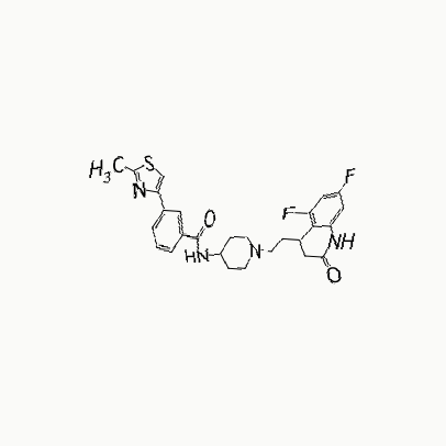 Cc1nc(-c2cccc(C(=O)NC3CCN(CCC4CC(=O)Nc5cc(F)cc(F)c54)CC3)c2)cs1